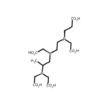 CC(CN(CCN(CCC(=O)O)CC(=O)O)CC(=O)O)N(CC(=O)O)CC(=O)O